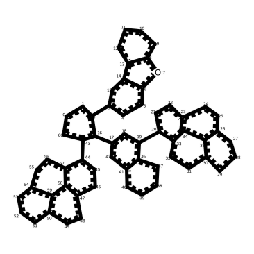 c1cc(-c2ccc3oc4ccccc4c3c2)c(-c2cc(-c3ccc4ccc5cccc6ccc3c4c56)c3ccccc3c2)c(-c2ccc3ccc4cccc5ccc2c3c45)c1